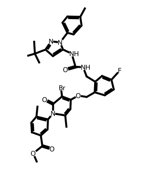 COC(=O)c1ccc(C)c(-n2c(C)cc(OCc3ccc(F)cc3CNC(=O)Nc3cc(C(C)(C)C)nn3-c3ccc(C)cc3)c(Br)c2=O)c1